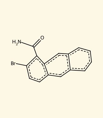 NC(=O)c1c(Br)ccc2cc3ccccc3cc12